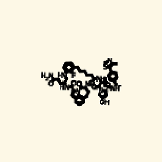 Cc1ncsc1-c1ccc([C@H](C)NC(=O)[C@@H]2C[C@@H](O)CN2C(=O)[C@@H](NC(=O)CCCCCc2cccc(NC[C@H](CCC(N)=O)NC(=O)[C@@H]3Cc4cccc5c4N3C(=O)[C@@H](N)CC5)c2F)C(C)(C)C)cc1